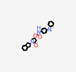 CN(c1ccccc1)c1ccc(NC(=O)OC2CC(=O)N(C3Cc4ccccc4C3)C2)cc1